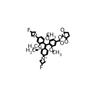 C=C[Si]1(C)C2=CC(=[N+]3CC(F)C3)C=CC2=C(c2c(OC)cc(C(=O)ON3C(=O)CCC3=O)cc2OC)c2ccc(N3CC(F)C3)cc21